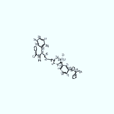 CC(=O)NC(CCN1CC[C@](C)(c2cccc(OC(C)=O)c2)[C@@H](C)C1)c1ccccc1